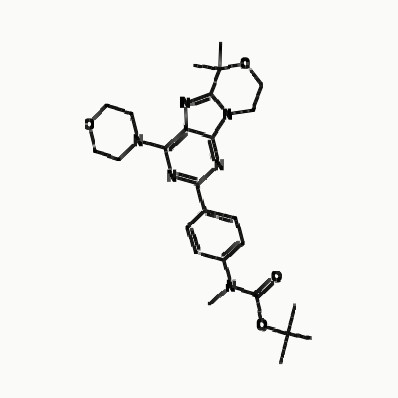 CN(C(=O)OC(C)(C)C)c1ccc(-c2nc(N3CCOCC3)c3nc4n(c3n2)CCOC4(C)C)cc1